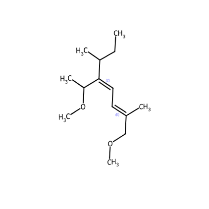 CCC(C)/C(=C/C=C(\C)COC)C(C)OC